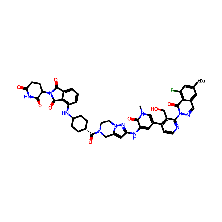 Cn1cc(-c2ccnc(-n3ncc4cc(C(C)(C)C)cc(F)c4c3=O)c2CO)cc(Nc2cc3n(n2)CCN(C(=O)[C@H]2CC[C@H](Nc4cccc5c4C(=O)N(C4CCC(=O)NC4=O)C5=O)CC2)C3)c1=O